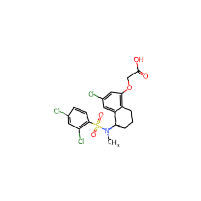 CN(C1CCCc2c(OCC(=O)O)cc(Cl)cc21)S(=O)(=O)c1ccc(Cl)cc1Cl